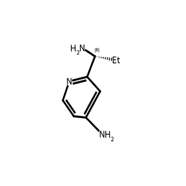 CC[C@@H](N)c1cc(N)ccn1